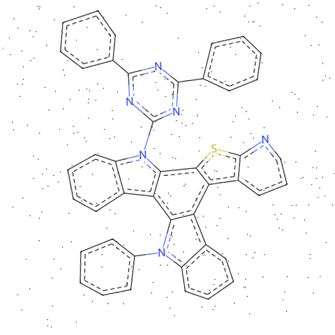 c1ccc(-c2nc(-c3ccccc3)nc(-n3c4ccccc4c4c3c3sc5ncccc5c3c3c5ccccc5n(-c5ccccc5)c34)n2)cc1